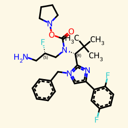 CC(C)(C)[C@H](c1nc(-c2cc(F)ccc2F)cn1Cc1ccccc1)N(C[C@@H](F)CN)C(=O)ON1CCCC1